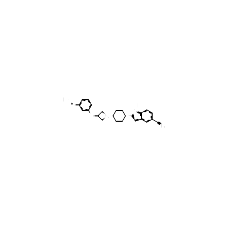 COc1cccc(OC2CN([C@H]3CC[C@H](c4cc5cc(C#N)ccc5[nH]4)CC3)C2)c1